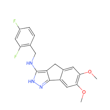 COc1cc2c(cc1OC)-c1n[nH]c(NCc3ccc(F)cc3F)c1C2